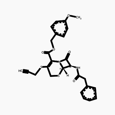 C#CCSC1=C(C(=O)OCc2ccc(OC)cc2)N2C(=O)[C@@H](NC(=O)Cc3ccccc3)[C@@H]2SC1